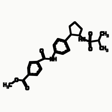 COC(=O)c1ccc(C(=O)Nc2ccc(C3CCCC3NS(=O)(=O)C(C)C)cc2)cc1